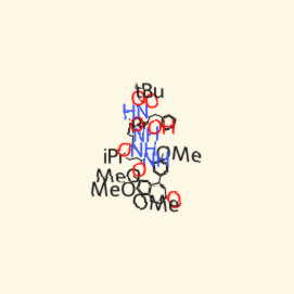 COc1ccc(C2=CC(=O)CCc3c2cc(OC)c(OC)c3OC)cc1NC(=O)C(CC(C)C)NC(=O)C(CC(C)C)NC(=O)C(O)C(Cc1ccccc1)NC(=O)OC(C)(C)C